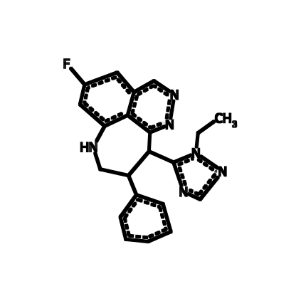 CCn1ncnc1C1c2nncc3cc(F)cc(c23)NCC1c1ccccc1